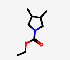 CCOC(=O)N1CC(C)C(C)C1